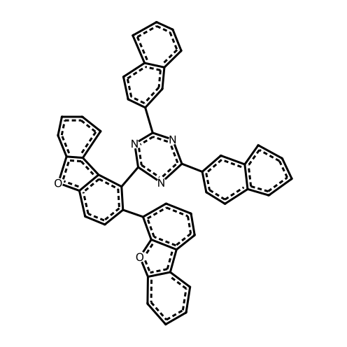 c1ccc2cc(-c3nc(-c4ccc5ccccc5c4)nc(-c4c(-c5cccc6c5oc5ccccc56)ccc5oc6ccccc6c45)n3)ccc2c1